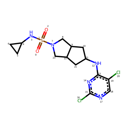 O=S(=O)(NC1CC1)N1CC2CC(Nc3nc(Cl)ncc3Cl)CC2C1